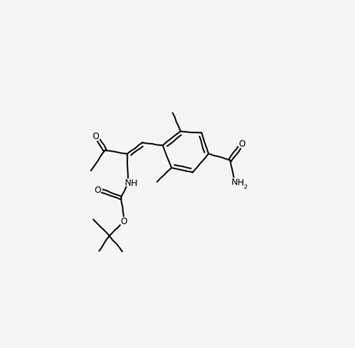 CC(=O)/C(=C/c1c(C)cc(C(N)=O)cc1C)NC(=O)OC(C)(C)C